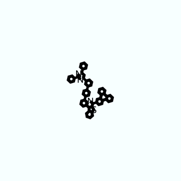 c1ccc(-c2cc(-c3cccc(-c4ccc(-c5cccc6c5nc(-c5ccc7c8ccccc8c8ccccc8c7c5)c5sc7ccccc7c56)cc4)c3)nc(-c3ccccc3)n2)cc1